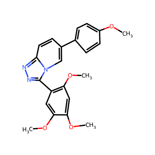 COc1ccc(-c2ccc3nnc(-c4cc(OC)c(OC)cc4OC)n3c2)cc1